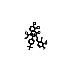 CCC(=O)Nc1ccc(Cl)c(Cl)c1C(=O)N(CCc1ccc(F)c(OC)c1F)Cc1ccc(C(C)(C)C)cc1